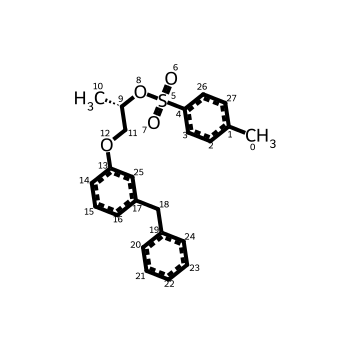 Cc1ccc(S(=O)(=O)O[C@@H](C)COc2cccc(Cc3ccccc3)c2)cc1